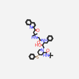 CC(C)(C)NC(=O)C1CC(Sc2ccccc2)CCN1CC(O)C(Cc1ccccc1)NC(=O)CNC(C)(C)CC(=O)c1ccc2ccccc2n1